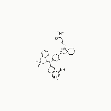 CN(C)C(=O)/C=C/CNC1(COc2ccc(/C(=C(/CC(F)(F)F)c3ccccc3)c3ccc(N)c(C(=N)F)c3)cn2)CCCCC1